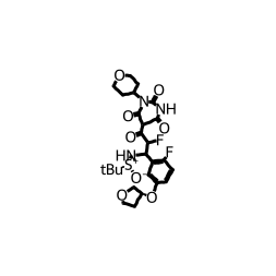 CC(C)(C)[S@@+]([O-])NC(c1cc(O[C@H]2CCOC2)ccc1F)C(F)C(=O)C1C(=O)NC(=O)N(C2CCOCC2)C1=O